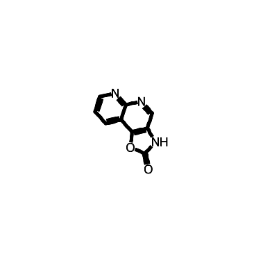 O=c1[nH]c2cnc3ncccc3c2o1